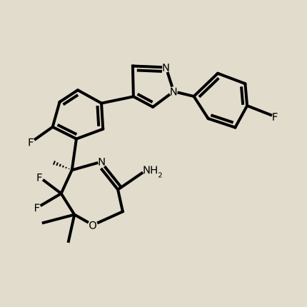 CC1(C)OCC(N)=N[C@](C)(c2cc(-c3cnn(-c4ccc(F)cc4)c3)ccc2F)C1(F)F